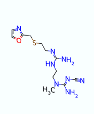 CN(CCNC(N)=NCCSCc1ncco1)C(N)=NC#N